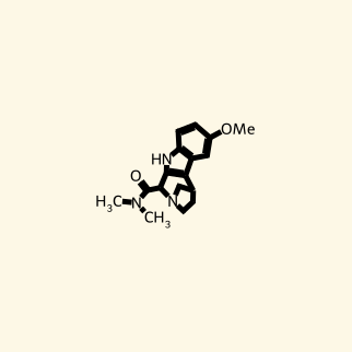 COc1ccc2[nH]c3c(c2c1)C1CCN(C1)C3C(=O)N(C)C